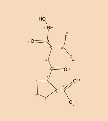 O=C(NO)C(CC(=O)N1CCC[C@H]1C(=O)O)C(F)F